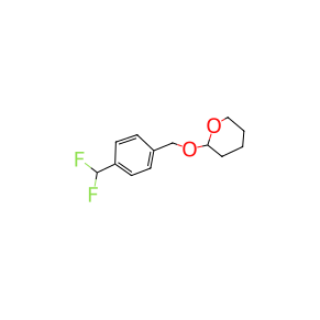 FC(F)c1ccc(COC2CCCCO2)cc1